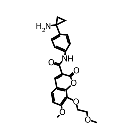 COCCOc1c(OC)ccc2cc(C(=O)Nc3ccc(C4(N)CC4)cc3)c(=O)oc12